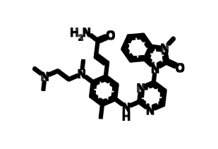 Cc1cc(N(C)CCN(C)C)c(C=CC(N)=O)cc1Nc1nccc(-n2c(=O)n(C)c3ccccc32)n1